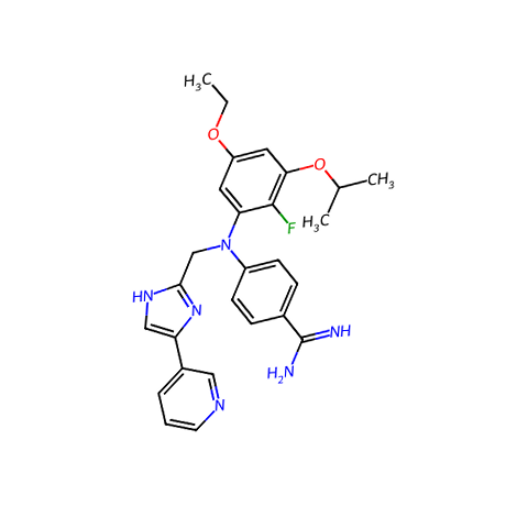 CCOc1cc(OC(C)C)c(F)c(N(Cc2nc(-c3cccnc3)c[nH]2)c2ccc(C(=N)N)cc2)c1